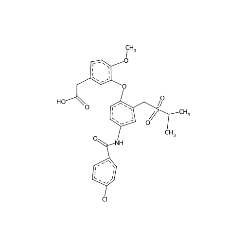 COc1ccc(CC(=O)O)cc1Oc1ccc(NC(=O)c2ccc(Cl)cc2)cc1CS(=O)(=O)C(C)C